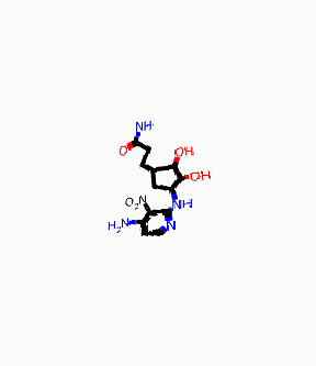 [NH]C(=O)CCC1CC(Nc2nccc(N)c2[N+](=O)[O-])C(O)C1O